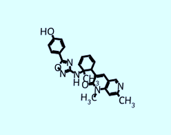 Cc1cc2c(cn1)cc(C1C=CC=CC1(C)Nc1noc(-c3ccc(O)cc3)n1)c(=O)n2C